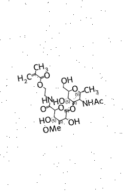 C=C(C)C(=O)OCCNC(=O)C1O[C@@H](O[C@@H]2C(NC(C)=O)[C@H](C)OC(CO)[C@H]2O)C(O)[C@@H](OC)[C@@H]1O